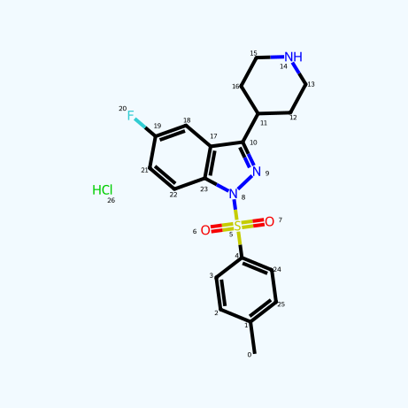 Cc1ccc(S(=O)(=O)n2nc(C3CCNCC3)c3cc(F)ccc32)cc1.Cl